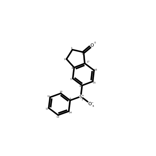 O=C1CCc2cc([S+]([O-])c3ccccc3)ccc21